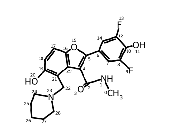 CNC(=O)c1c(-c2cc(F)c(O)c(F)c2)oc2ccc(O)c(CN3CCCCC3)c12